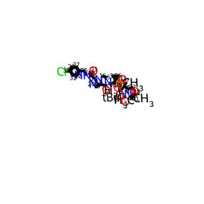 CC(C)(C)OC(=O)N1C(C(C)(C)S(=O)(=O)C2(CN3CCn4c(cnc4C(=O)NCc4ccc(Cl)cc4)C3=O)CC2)COC1(C)C